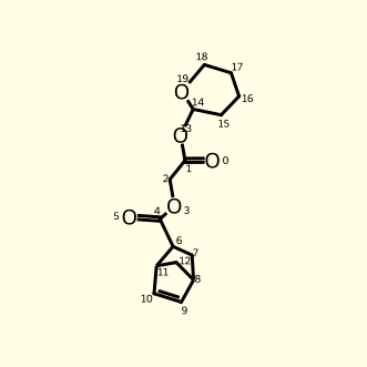 O=C(COC(=O)C1CC2C=CC1C2)OC1CCCCO1